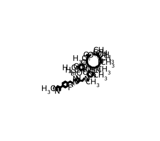 CC[C@H]1OC(=O)[C@H](C)[C@@H](O[C@H]2C[C@@](C)(OC)[C@@H](O)[C@H](C)O2)C[C@@H](O[C@H]2C[C@@H](N(C)CCc3cn([C@H](CF)Cc4ccc(-c5cnn(C)c5)cc4)nn3)C[C@@H](C)O2)[C@H](O)C[C@@H](C)CN(C)[C@H](C)[C@@H](O)[C@]1(C)O